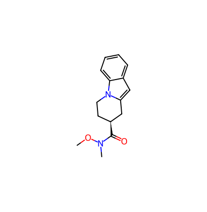 CON(C)C(=O)[C@H]1CCn2c(cc3ccccc32)C1